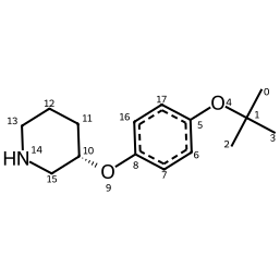 CC(C)(C)Oc1ccc(O[C@H]2CCCNC2)cc1